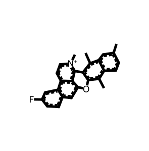 Cc1ccc2c(C)c3c(c(C)c2c1)-c1c2c(cc4ccc(F)cc4c2cc[n+]1C)O3